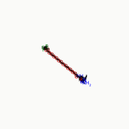 CCCCc1nc2c(N)nnc(OC(C)C)c2n1Cc1ccc(CNC(=O)CCOCCOCCOCCOCCOCCOCCOCCOCCOCCOCCOCCOCCC(=O)Oc2c(F)c(F)cc(F)c2F)cc1